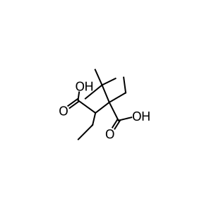 CCC(C(=O)O)C(CC)(C(=O)O)C(C)(C)C